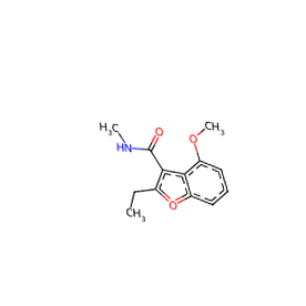 CCc1oc2cccc(OC)c2c1C(=O)NC